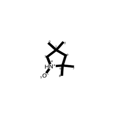 CC1(C)C[NH+]([O-])C(C)(C)C1